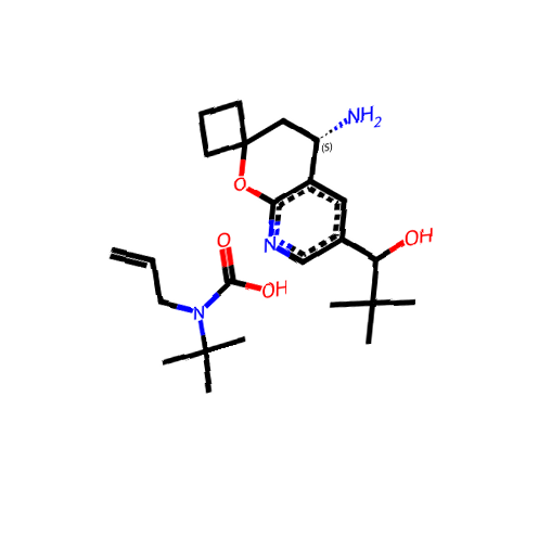 C=CCN(C(=O)O)C(C)(C)C.CC(C)(C)C(O)c1cnc2c(c1)[C@@H](N)CC1(CCC1)O2